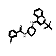 O=C(N[C@@H]1CCC[C@H](Nc2cc(C(F)(F)F)nc3ccccc23)C1)c1cccc(F)c1